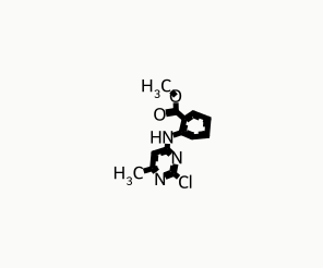 COC(=O)c1ccccc1Nc1cc(C)nc(Cl)n1